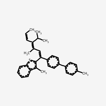 C\C=C/C(=C(C)/C=C(/c1ccc(-c2ccc(C)cc2)cc1)c1sc2ccccc2c1C)C(C)C